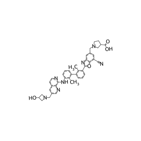 Cc1c(Nc2nccc3cc(CN4CC(O)C4)cnc23)cccc1-c1cccc(-c2nc3cc(CN4CCC(C(=O)O)C4)cc(C#N)c3o2)c1C